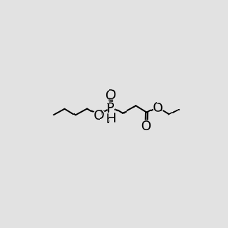 CCCCO[PH](=O)CCC(=O)OCC